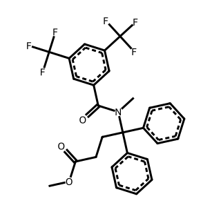 COC(=O)CCC(c1ccccc1)(c1ccccc1)N(C)C(=O)c1cc(C(F)(F)F)cc(C(F)(F)F)c1